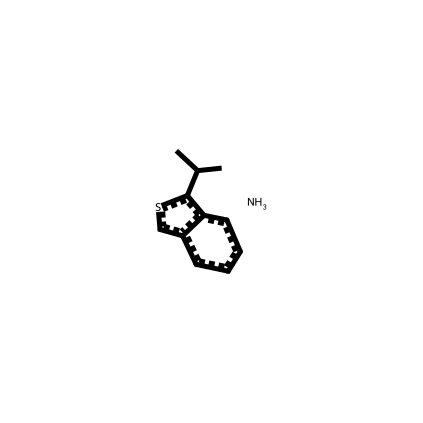 CC(C)c1scc2ccccc12.N